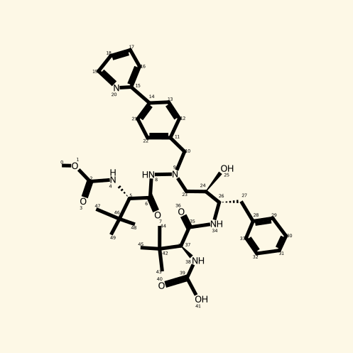 COC(=O)N[C@H](C(=O)NN(Cc1ccc(-c2ccccn2)cc1)C[C@@H](O)[C@H](Cc1ccccc1)NC(=O)[C@@H](NC(=O)O)C(C)(C)C)C(C)(C)C